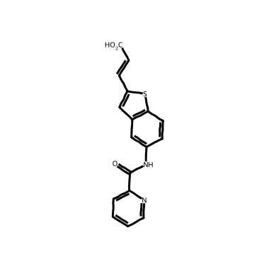 O=C(O)/C=C/c1cc2cc(NC(=O)c3ccccn3)ccc2s1